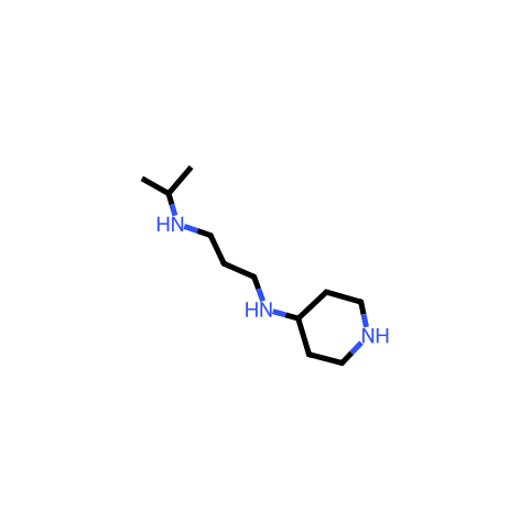 CC(C)NCCCNC1CCNCC1